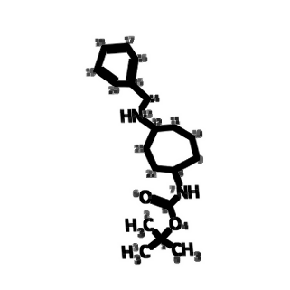 CC(C)(C)OC(=O)NC1CCCC(NCc2ccccc2)CC1